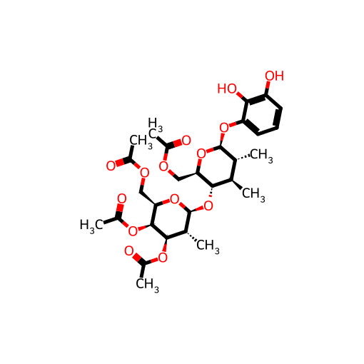 CC(=O)OC[C@H]1O[C@@H](O[C@H]2[C@H](C)[C@@H](C)[C@H](Oc3cccc(O)c3O)O[C@@H]2COC(C)=O)[C@H](C)[C@@H](OC(C)=O)[C@H]1OC(C)=O